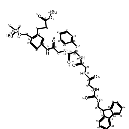 CC(C)(C)OC(=O)CCc1cc(NC(=O)CNC(=O)[C@H](Cc2ccccc2)NC(=O)CNC(=O)CNC(=O)OCC2c3ccccc3-c3ccccc32)ccc1CO[Si](C)(C)C(C)(C)C